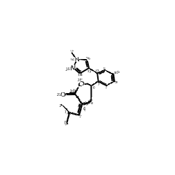 CC(C)C=C1CC(c2ccccc2-c2cnn(C)c2)OC1=O